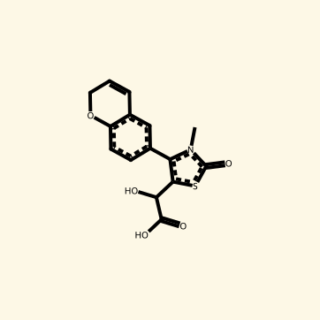 Cn1c(-c2ccc3c(c2)C=CCO3)c(C(O)C(=O)O)sc1=O